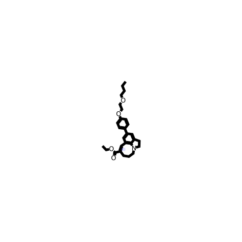 CCCCOCCOc1ccc(-c2cc3c4c(c2)CCN4CCC/C(C(=O)OCC)=C\3)cc1